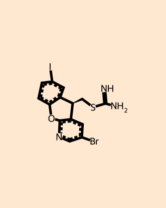 N=C(N)SC[C@@H]1c2cc(I)ccc2Oc2ncc(Br)cc21